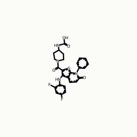 O=C(O)NC1CCN(C(=O)c2sc3c(ccc(=O)n3-c3ccccc3)c2Nc2ccc(F)cc2F)CC1